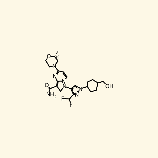 C[C@@H]1CN(C2=NC3=C(C(N)=O)CN(c4cn(C5CCC(CO)CC5)nc4C(F)F)N3C=C2)CCO1